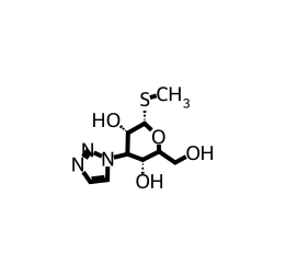 CS[C@@H]1OC(CO)[C@H](O)C(n2ccnn2)[C@@H]1O